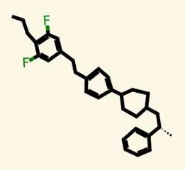 CCCc1c(F)cc(CCc2ccc(C3CCC(C[C@H](C)c4ccccc4)CC3)cc2)cc1F